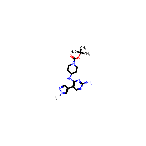 Cn1cc(-c2cnc(N)nc2NC2CCN(C(=O)OC(C)(C)C)CC2)cn1